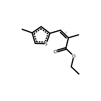 CCOC(=O)/C(C)=C\c1cc(C)cs1